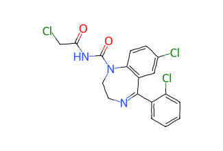 O=C(CCl)NC(=O)N1CCN=C(c2ccccc2Cl)c2cc(Cl)ccc21